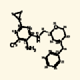 Nc1c(Cl)nc(C2CC2)nc1NC[C@H]1CN(Cc2ccccc2)CCO1